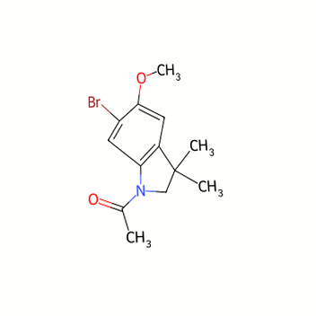 COc1cc2c(cc1Br)N(C(C)=O)CC2(C)C